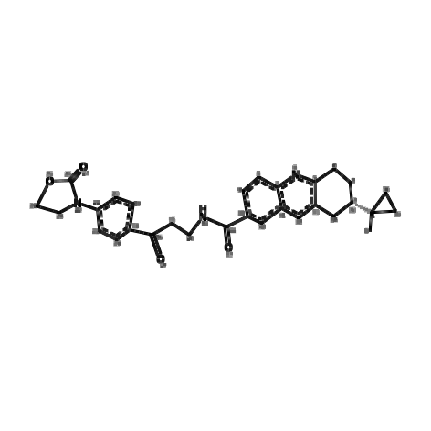 CC1([C@H]2CCc3nc4ccc(C(=O)NCCC(=O)c5ccc(N6CCOC6=O)cc5)cc4cc3C2)CC1